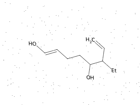 C=CC(CC)C(O)CCC=CO